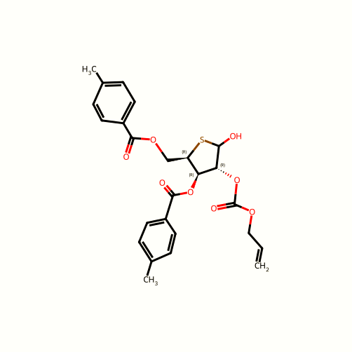 C=CCOC(=O)O[C@H]1C(O)S[C@H](COC(=O)c2ccc(C)cc2)[C@@H]1OC(=O)c1ccc(C)cc1